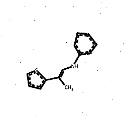 C/C(=C\Nc1ccccc1)c1cccs1